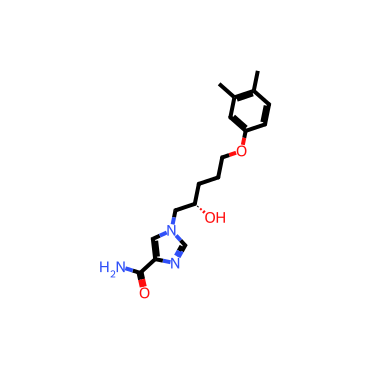 Cc1ccc(OCCC[C@H](O)Cn2cnc(C(N)=O)c2)cc1C